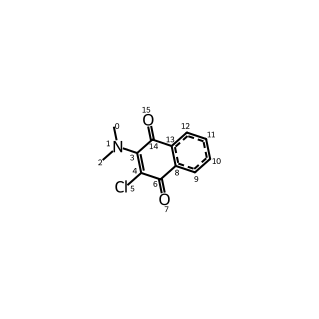 CN(C)C1=C(Cl)C(=O)c2ccccc2C1=O